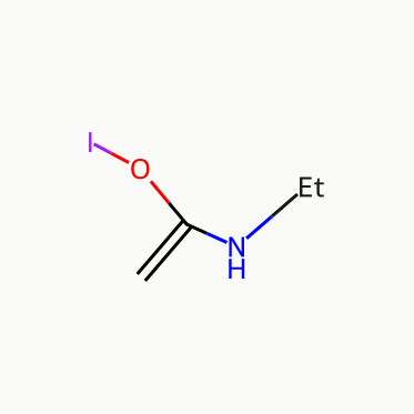 C=C(NCC)OI